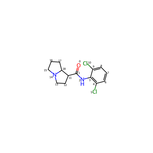 O=C(Nc1c(Cl)cccc1Cl)C1CCN2CCCC12